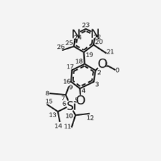 COc1cc(O[Si](C(C)C)(C(C)C)C(C)C)ccc1-c1c(C)ncnc1C